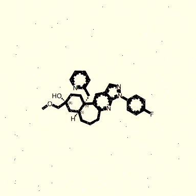 COC[C@@]1(O)CC[C@@]2(Cc3ccccn3)c3cc4cnn(-c5ccc(F)cc5)c4nc3CCC[C@H]2C1